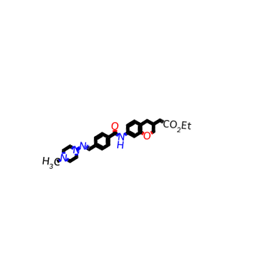 CCOC(=O)CC1COc2cc(NC(=O)c3ccc(/C=N/N4CCN(C)CC4)cc3)ccc2C1